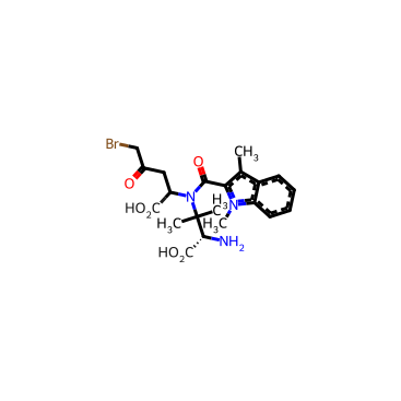 Cc1c(C(=O)N(C(CC(=O)CBr)C(=O)O)C(C)(C)[C@H](N)C(=O)O)n(C)c2ccccc12